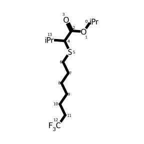 CC(C)OC(=O)C(SCCCCCCC(F)(F)F)C(C)C